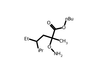 CCCCOC(=O)C(C)(CC(CC)C(C)C)ON